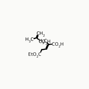 C=C(C)C(=O)O.CCOC(=O)CC=C(C)C(=O)O